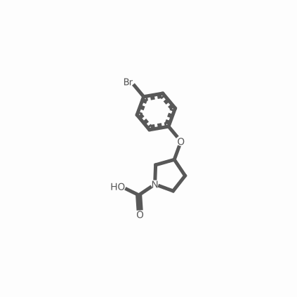 O=C(O)N1CCC(Oc2ccc(Br)cc2)C1